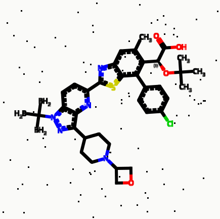 BC(B)(B)n1nc(C2CCN(C3COC3)CC2)c2nc(-c3nc4cc(C)c([C@H](OC(C)(C)C)C(=O)O)c(-c5ccc(Cl)cc5)c4s3)ccc21